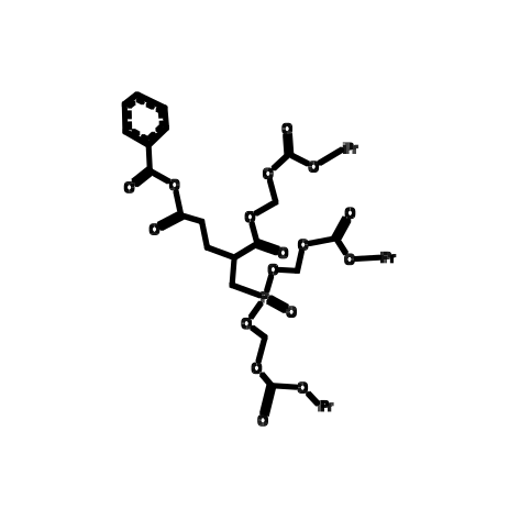 CC(C)OC(=O)OCOC(=O)C(CCC(=O)OC(=O)c1ccccc1)CP(=O)(OCOC(=O)OC(C)C)OCOC(=O)OC(C)C